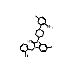 Cc1ccc(N)c(N2CCC(n3c(=N)n(Cc4ccccc4Cl)c4ccc(F)cc43)CC2)n1